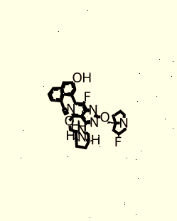 C#Cc1cccc2cc(O)cc(-c3nc4c5c(nc(OC[C@@]67CCCN6C[C@@H](F)C7)nc5c3F)N3C[C@H]5CC[C@H](N5)[C@@H]3CO4)c12